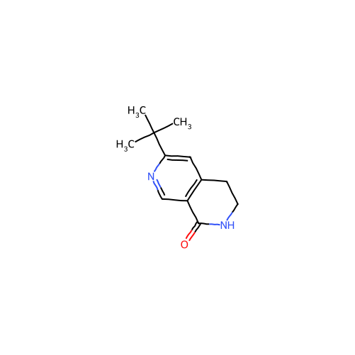 CC(C)(C)c1cc2c(cn1)C(=O)NCC2